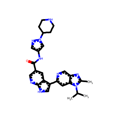 Cc1nc2cnc(-c3c[nH]c4ncc(C(=O)Nc5cnn(C6CCNCC6)c5)cc34)cc2n1C(C)C